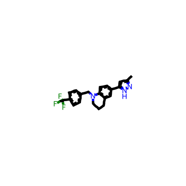 Cc1cc(-c2ccc3c(c2)CCCN3Cc2ccc(C(F)(F)F)cc2)[nH]n1